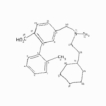 Cc1ccccc1-c1cc(CN(C)CCC2CCCCC2)ccc1C(=O)O